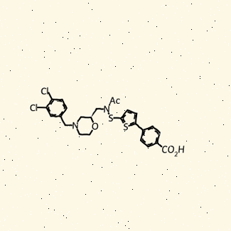 CC(=O)N(C[C@@H]1CN(Cc2ccc(Cl)c(Cl)c2)CCO1)Sc1ccc(-c2ccc(C(=O)O)cc2)s1